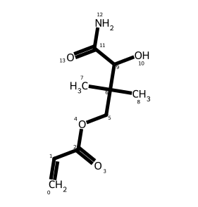 C=CC(=O)OCC(C)(C)C(O)C(N)=O